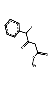 CCCOC(=O)CC(=O)C(F)c1ccccc1